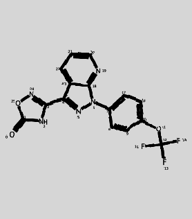 O=c1[nH]c(-c2nn(-c3ccc(OC(F)(F)F)cc3)c3ncccc23)no1